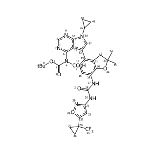 CC(C)(C)OC(=O)N(C(=O)O)c1ncnc2c1c(-c1ccc(NC(=O)Nc3cc(C4(C(F)(F)F)CC4)on3)c3c1CC(C)(C)O3)cn2C1CC1